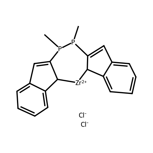 CP1C2=Cc3ccccc3[CH]2[Zr+2][CH]2C(=Cc3ccccc32)P1C.[Cl-].[Cl-]